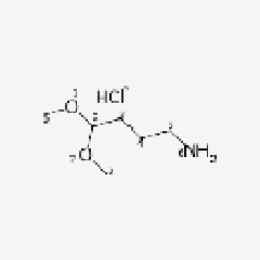 COC(CCCN)OC.Cl